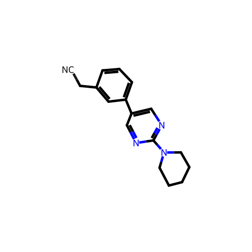 N#CCc1cccc(-c2cnc(N3CCCCC3)nc2)c1